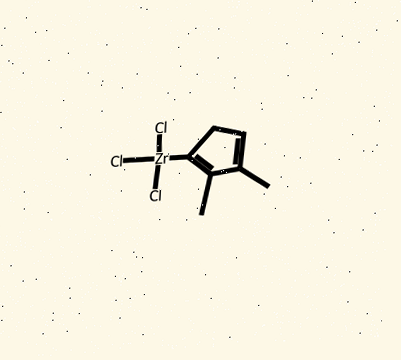 CC1=CC[C]([Zr]([Cl])([Cl])[Cl])=C1C